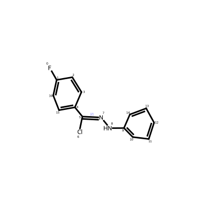 Fc1ccc(/C(Cl)=N/Nc2ccccc2)cc1